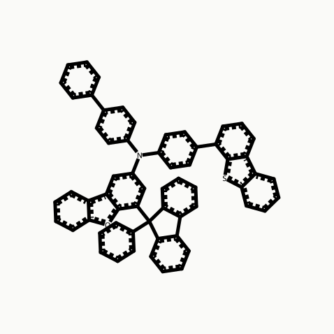 c1ccc(-c2ccc(N(c3ccc(-c4cccc5c4sc4ccccc45)cc3)c3cc(C4(c5ccccc5)c5ccccc5-c5ccccc54)c4oc5ccccc5c4c3)cc2)cc1